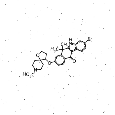 CC1(C)c2cc(OC3CCOC34CCN(C(=O)O)CC4)ccc2C(=O)c2c1[nH]c1cc(Br)ccc21